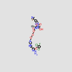 Cc1ncsc1-c1ccc(CNC(=O)[C@@H]2C[C@@H](O)CN2C(=O)[C@@H](NC(=O)COCCOCCOCCN2CCC(n3cc(-c4cnc(N)c(O[C@H](C)c5c(Cl)ccc(F)c5Cl)c4)cn3)CC2)C(C)(C)C)cc1